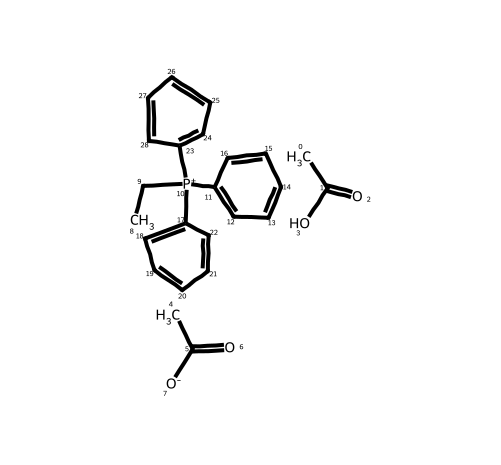 CC(=O)O.CC(=O)[O-].CC[P+](c1ccccc1)(c1ccccc1)c1ccccc1